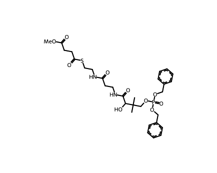 COC(=O)CCC(=O)SCCNC(=O)CCNC(=O)C(O)C(C)(C)COP(=O)(OCc1ccccc1)OCc1ccccc1